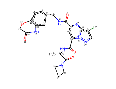 C[C@H](NC(=O)c1cc(C(=O)NCc2ccc3c(c2)NC(=O)CO3)nc2c(F)cnn12)C(=O)N1CCC1